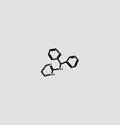 c1ccc(C(NC2=NCCCN2)c2ccccc2)cc1